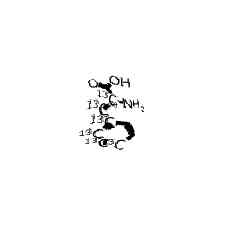 N[13C@@H]([13CH2][13c]1cc[13cH][13cH][13cH]1)C(=O)O